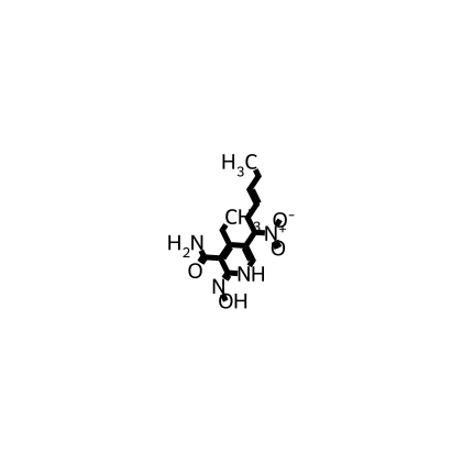 CC/C=C/CC(c1c[nH]/c(=N\O)c(C(N)=O)c1CC)[N+](=O)[O-]